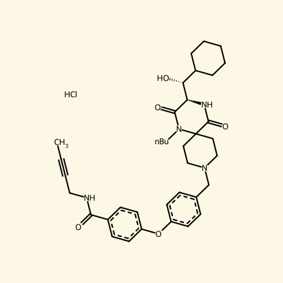 CC#CCNC(=O)c1ccc(Oc2ccc(CN3CCC4(CC3)C(=O)N[C@H]([C@H](O)C3CCCCC3)C(=O)N4CCCC)cc2)cc1.Cl